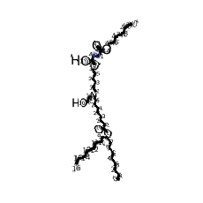 CCCCCCCCC(CCCCCCCC)OC(=O)CCCCCCCN(CCO)CCCCCCOC(O)/C=C/C(=O)OCCCCCC